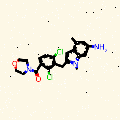 Cc1cc(N)cc2c1cc(Cc1c(Cl)ccc(C(=O)N3CCOCC3)c1Cl)n2C